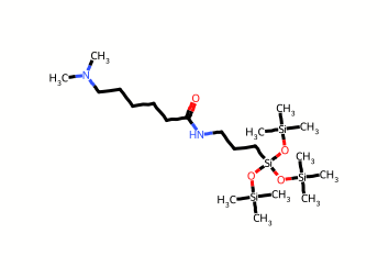 CN(C)CCCCCC(=O)NCCC[Si](O[Si](C)(C)C)(O[Si](C)(C)C)O[Si](C)(C)C